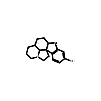 CCC12CCCN3CCC4(c5ccc(O)cc5NC4CC1)C32